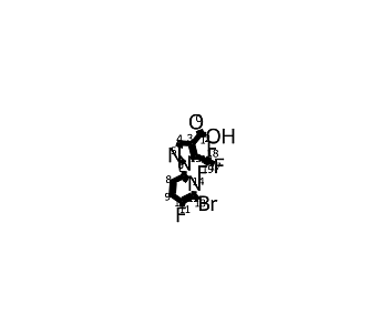 O=C(O)c1cnn(-c2ccc(F)c(Br)n2)c1C(F)(F)F